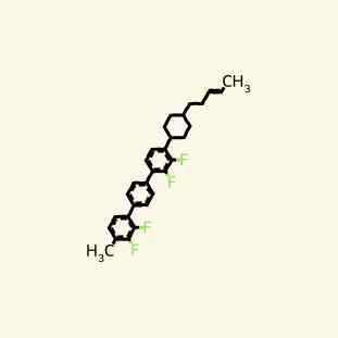 C/C=C/CCC1CCC(c2ccc(-c3ccc(-c4ccc(C)c(F)c4F)cc3)c(F)c2F)CC1